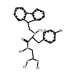 CCOC(CN(C(=O)C(Cc1ccc(Br)cc1)N(CC1c2ccccc2-c2ccccc21)C(=O)O)C(C)C)OCC